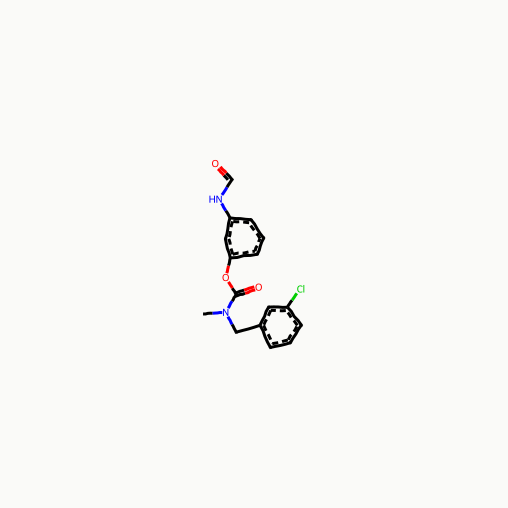 CN(Cc1cccc(Cl)c1)C(=O)Oc1cccc(NC=O)c1